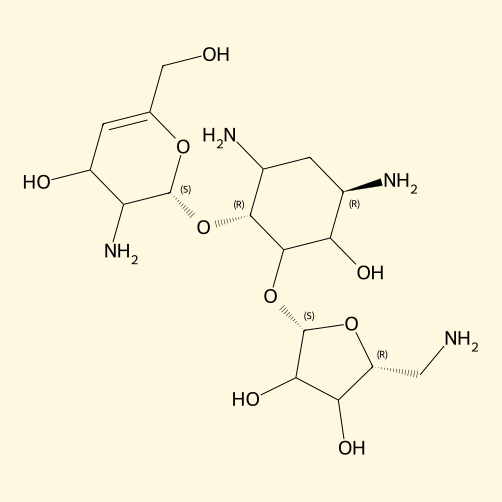 NC[C@H]1O[C@@H](OC2C(O)[C@H](N)CC(N)[C@H]2O[C@H]2OC(CO)=CC(O)C2N)C(O)C1O